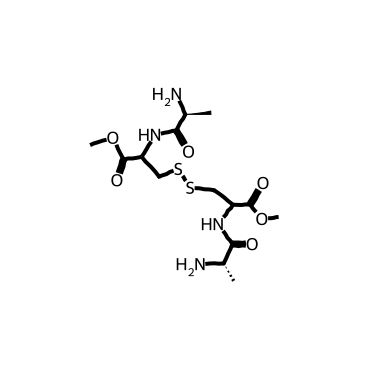 COC(=O)C(CSSCC(NC(=O)[C@H](C)N)C(=O)OC)NC(=O)[C@H](C)N